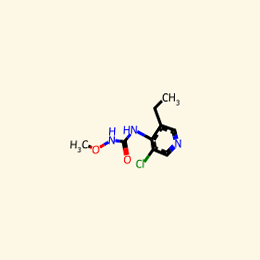 CCc1cncc(Cl)c1NC(=O)NOC